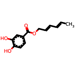 CC=CC=CCOC(=O)c1ccc(O)c(O)c1